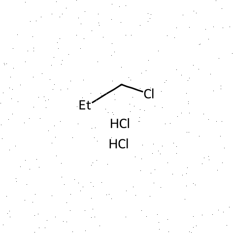 CCCCl.Cl.Cl